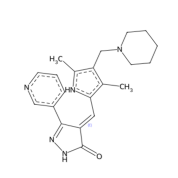 Cc1[nH]c(/C=C2/C(=O)NN=C2c2cccnc2)c(C)c1CN1CCCCC1